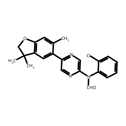 Cc1cc2c(cc1-c1cnc(N(C=O)c3ccccc3Cl)cn1)C(C)(C)CO2